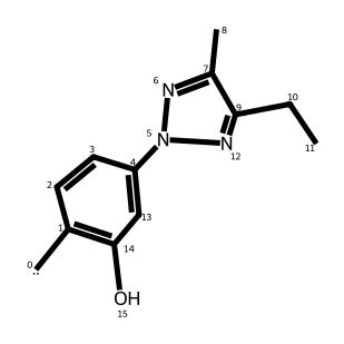 [CH]c1ccc(-n2nc(C)c(CC)n2)cc1O